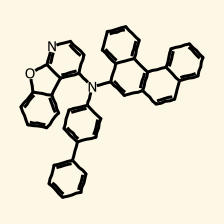 c1ccc(-c2ccc(N(c3cc4ccc5ccccc5c4c4ccccc34)c3ccnc4oc5ccccc5c34)cc2)cc1